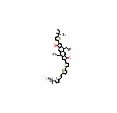 C=CC(C)(CCCC)c1ccc(-c2cc3c(CC(C)C)c4cc5c(=O)c(-c6ccc(-c7ccc(/C=C/c8ccc(C(C)(C)CCCCCC)s8)s7)s6)cc5c(CC(C)C)c4cc3c2=O)s1